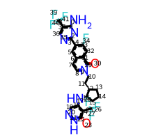 Nc1nc(-c2cc3ccn(CC[C@H]4CCC[C@@H]4Nc4cn[nH]c(=O)c4C(F)(F)F)c(=O)c3cc2F)ncc1C(F)(F)F